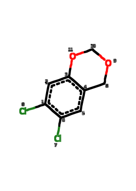 Clc1[c]c2c(cc1Cl)COCO2